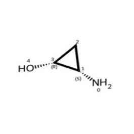 N[C@H]1C[C@H]1O